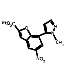 CCOC(=O)c1cc2cc([N+](=O)[O-])cc(-c3ccnn3C)c2o1